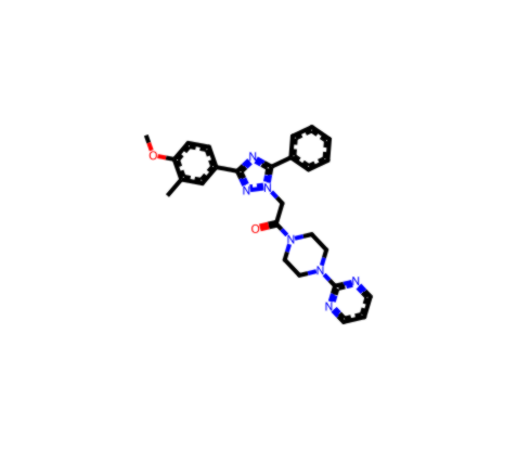 COc1ccc(-c2nc(-c3ccccc3)n(CC(=O)N3CCN(c4ncccn4)CC3)n2)cc1C